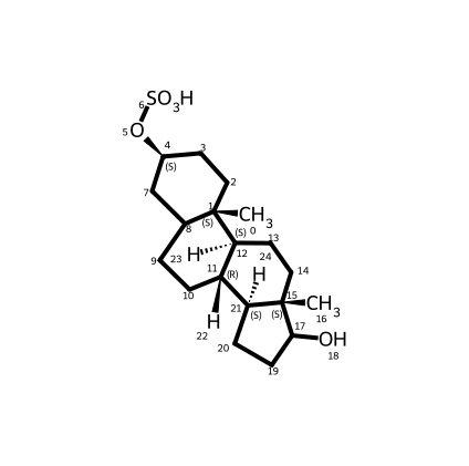 C[C@]12CC[C@H](OS(=O)(=O)O)CC1CC[C@@H]1[C@@H]2CC[C@]2(C)C(O)CC[C@@H]12